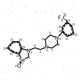 O=[Se]1CN(CCN2CCN(c3cccc(C(F)(F)F)c3)CC2)c2ccccc21